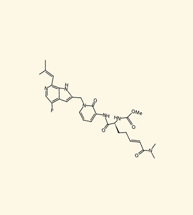 COC(=O)N[C@@H](CC/C=C/C(=O)N(C)C)C(=O)Nc1cccn(Cc2cc3c(F)cnc(C=C(C)C)c3[nH]2)c1=O